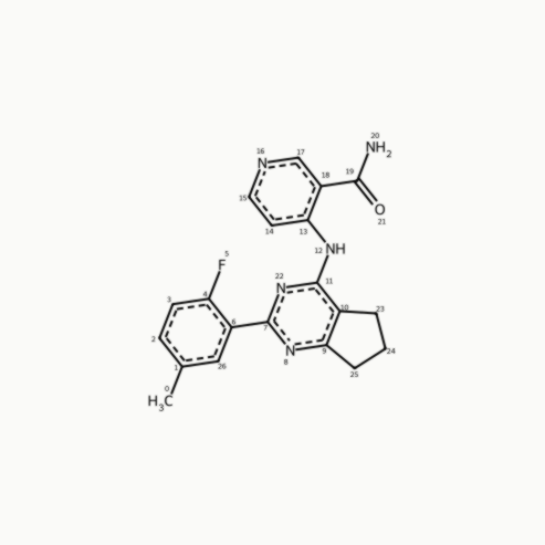 Cc1ccc(F)c(-c2nc3c(c(Nc4ccncc4C(N)=O)n2)CCC3)c1